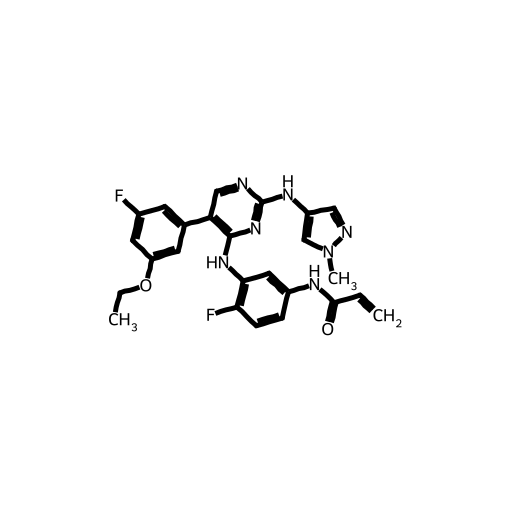 C=CC(=O)Nc1ccc(F)c(Nc2nc(Nc3cnn(C)c3)ncc2-c2cc(F)cc(OCC)c2)c1